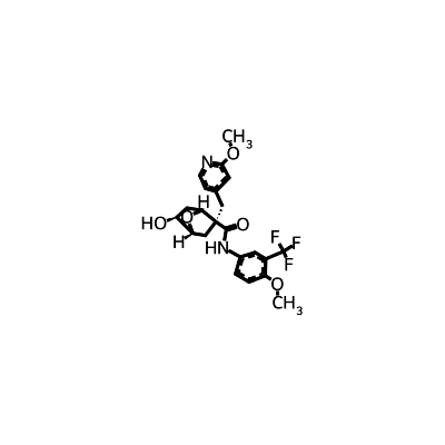 COc1cc(C[C@]2(C(=O)Nc3ccc(OC)c(C(F)(F)F)c3)C[C@H]3O[C@@H]2C[C@@H]3O)ccn1